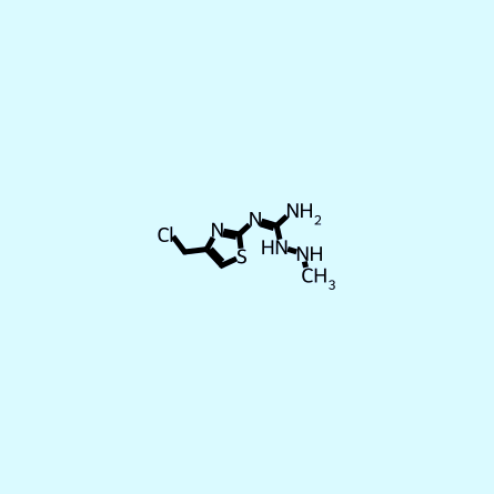 CNNC(N)=Nc1nc(CCl)cs1